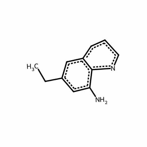 CCc1cc(N)c2ncccc2c1